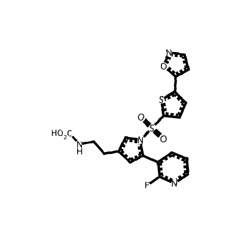 O=C(O)NCCc1cc(-c2cccnc2F)n(S(=O)(=O)c2ccc(-c3ccno3)s2)c1